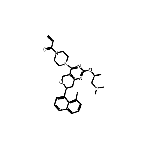 C=CC(=O)N1CCN(c2nc(OC(C)CN(C)C)nc3c2COC(c2cccc4cccc(C)c24)C3)CC1